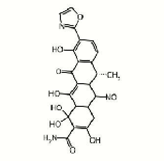 C[C@H]1c2ccc(-c3ncco3)c(O)c2C(=O)C2=C(O)C3C(CC(O)=C(C(N)=O)C3(O)O)C(N=O)C21